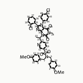 COc1ccc(CN(Cc2ccc(OC)cc2)S(=O)(=O)c2ccc(C(C)n3c(=O)n(C)c(=O)c4c3nc(-c3ccccc3Cl)n4-c3ccc(Cl)cc3)nc2)cc1